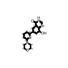 O=c1[nH]cnc2c(O)cc(-c3cccc(N4CCOCC4)n3)cc12